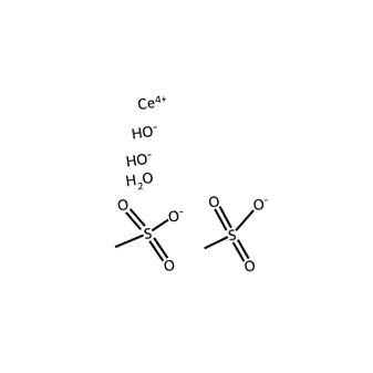 CS(=O)(=O)[O-].CS(=O)(=O)[O-].O.[Ce+4].[OH-].[OH-]